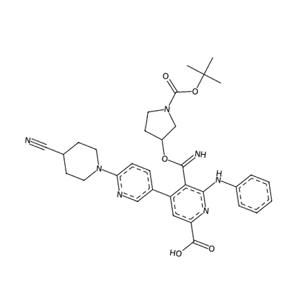 CC(C)(C)OC(=O)N1CCC(OC(=N)c2c(-c3ccc(N4CCC(C#N)CC4)nc3)cc(C(=O)O)nc2Nc2ccccc2)C1